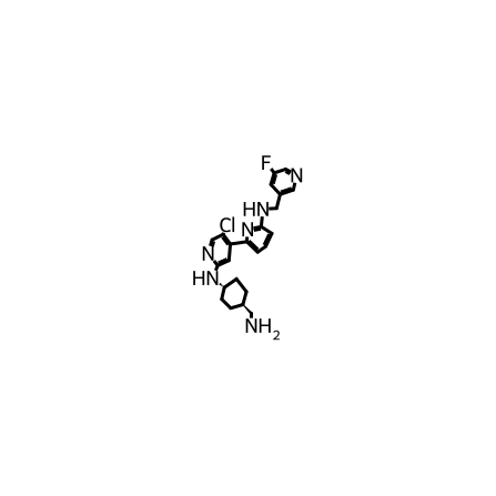 NC[C@H]1CC[C@H](Nc2cc(-c3cccc(NCc4cncc(F)c4)n3)c(Cl)cn2)CC1